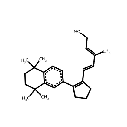 CC(C=CC1=C(c2ccc3c(c2)C(C)(C)CCC3(C)C)CCC1)=CCO